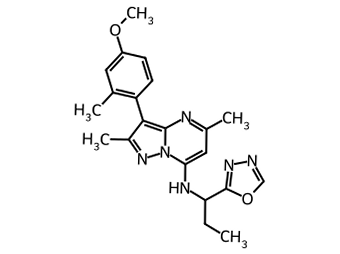 CCC(Nc1cc(C)nc2c(-c3ccc(OC)cc3C)c(C)nn12)c1nnco1